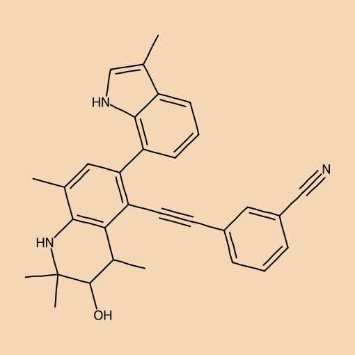 Cc1cc(-c2cccc3c(C)c[nH]c23)c(C#Cc2cccc(C#N)c2)c2c1NC(C)(C)C(O)C2C